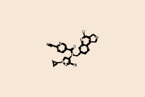 N#Cc1ccc(C(=O)N(Cc2ccc3c4c(c(Cl)nc3c2)COC4)c2cn(C3CC3)nc2Cl)cn1